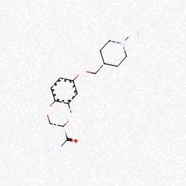 CN1CCC(COc2ccc3c(c2)O[C@@H](C(N)=O)CO3)CC1